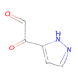 O=CC(=O)c1ccn[nH]1